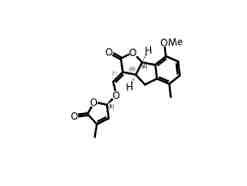 COc1ccc(C)c2c1[C@@H]1OC(=O)/C(=C/O[C@H]3C=C(C)C(=O)O3)[C@@H]1C2